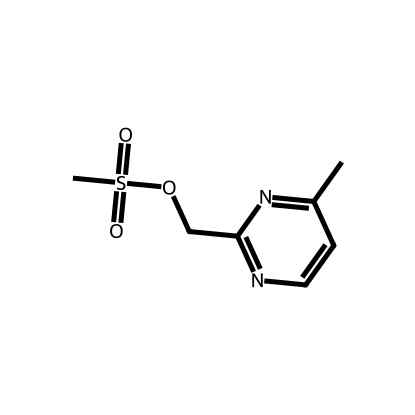 Cc1ccnc(COS(C)(=O)=O)n1